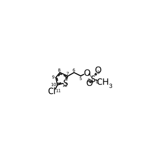 CS(=O)(=O)OCCc1ccc(Cl)s1